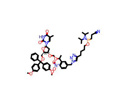 COc1ccc(C(OC[C@H]2O[C@@H](n3cc(C)c(=O)[nH]c3=O)C[C@@H]2OCOC(C)c2cc(Cn3cc(CCCCOP(CCC#N)N(C(C)C)C(C)C)nn3)ccc2[N+](=O)[O-])(c2ccccc2)c2ccc(OC)cc2)cc1